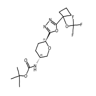 CC(C)(C)OC(=O)N[C@@H]1CC[C@@H](c2nnc(C3(OC(F)(F)F)CCC3)o2)OC1